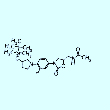 CC(=O)NC[C@H]1CN(c2ccc(N3CCC(O[Si](C)(C)C(C)(C)C)C3)c(F)c2)C(=O)O1